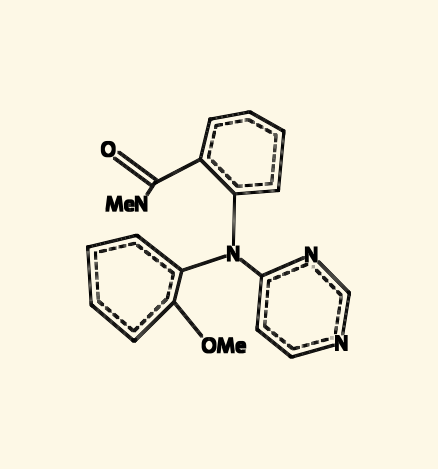 CNC(=O)c1ccccc1N(c1ccncn1)c1ccccc1OC